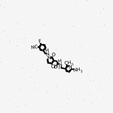 Cc1ccn(NCc2ccc(F)c(C#N)c2)c(=O)c1CC(=O)NCc1ccc(N)nc1C